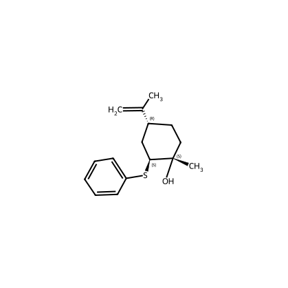 C=C(C)[C@@H]1CC[C@](C)(O)[C@@H](Sc2ccccc2)C1